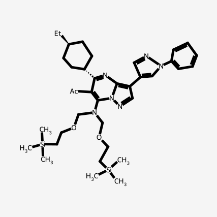 CC[C@H]1CC[C@H](c2nc3c(-c4cnn(-c5ccccc5)c4)cnn3c(N(COCC[Si](C)(C)C)COCC[Si](C)(C)C)c2C(C)=O)CC1